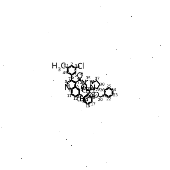 Cc1cc(Cl)cc(-c2cnc3ccc(-c4cccc(OCc5ccccc5)c4)cc3c2C(=O)N(C)C[C@@H]2CCCN2C(=O)OC(C)(C)C)c1